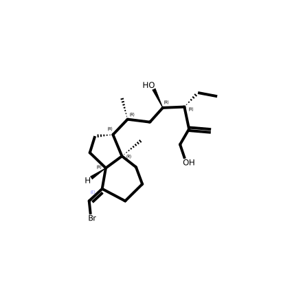 C=C(CO)[C@@H](CC)[C@H](O)C[C@@H](C)[C@H]1CC[C@H]2/C(=C/Br)CCC[C@]12C